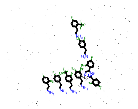 CC(NC(CN)c1ccc(F)cc1Br)c1ccc(F)cc1F.NCCc1ccc(Br)c(Br)c1.NCCc1ccc(C(F)(F)F)c(F)c1.NCCc1ccc(Cl)c(F)c1.NCCc1ccc(F)c(Cl)c1.NCCc1ccc(F)cc1Br.NCCc1ccc(F)cc1C(F)(F)F